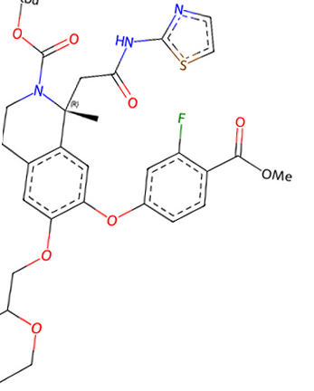 COC(=O)c1ccc(Oc2cc3c(cc2OCC2CCCCO2)CCN(C(=O)OC(C)(C)C)[C@]3(C)CC(=O)Nc2nccs2)cc1F